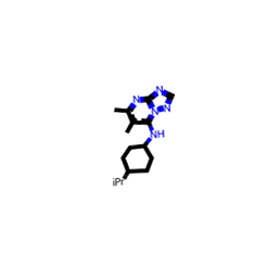 Cc1nc2ncnn2c(NC2CCC(C(C)C)CC2)c1C